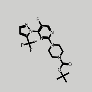 CC(C)(C)OC(=O)N1CCN(c2ncc(F)c(-n3nccc3C(F)(F)F)n2)CC1